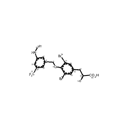 CCCNc1cc(COc2c(Br)cc(CC(F)C(=O)O)cc2Br)cc(C(F)(F)F)c1